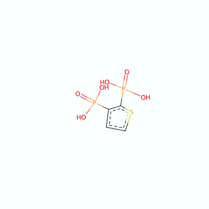 O=P(O)(O)c1ccsc1P(=O)(O)O